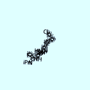 CC(C)N(C)CC[C@H](CSc1ccccc1)Nc1ccc(S(=O)(=O)Nc2ncnc3cc(N4CCN(Cc5ccccc5-c5ccc(Cl)cc5)CC4)ccc23)cc1C(F)(F)F